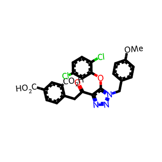 COc1ccc(Cn2nnc(C(=O)Cc3ccc(C(=O)O)cc3C(=O)O)c2Oc2cc(Cl)ccc2Cl)cc1